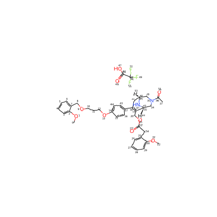 COc1ccccc1COCCCOc1ccc(C2=C(COC(=O)Cc3ccccc3OC)[C@H]3CN(C(C)=O)C[C@@H](C2)N3)cc1.O=C(O)C(F)(F)F